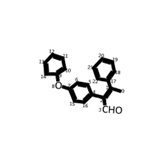 CC(=C(C=O)c1ccc(Oc2ccccc2)cc1)c1ccccc1